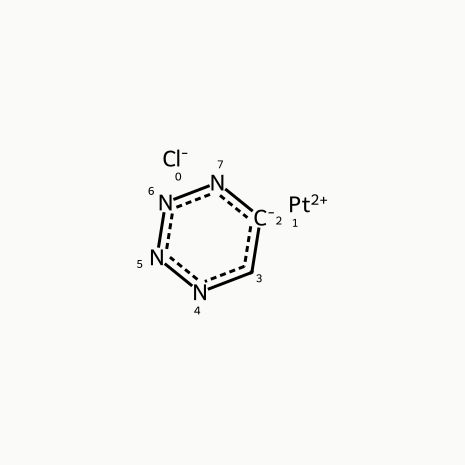 [Cl-].[Pt+2].[c-]1cnnnn1